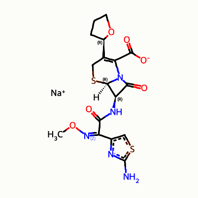 CO/N=C(\C(=O)N[C@@H]1C(=O)N2C(C(=O)[O-])=C([C@H]3CCCO3)CS[C@H]12)c1csc(N)n1.[Na+]